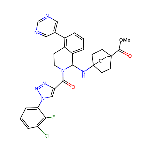 COC(=O)C12CCC(NC3c4cccc(-c5cncnc5)c4CCN3C(=O)c3cn(-c4cccc(Cl)c4F)nn3)(CC1)CC2